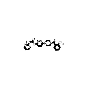 O=C(Nc1ncccn1)Oc1ccc(N2CCN(C(=O)c3ccccc3C(F)(F)F)CC2)nn1